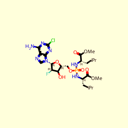 COC(=O)[C@H](CC(C)C)NP(=O)(N[C@@H](CC(C)C)C(=O)OC)OC[C@H]1O[C@@H](n2cnc3c(N)nc(Cl)nc32)[C@H](F)C1O